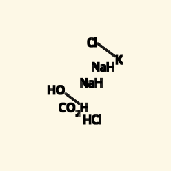 Cl.O=C(O)O.[Cl][K].[NaH].[NaH]